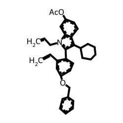 C=CCn1c(-c2ccc(OCc3ccccc3)cc2C=C)c(C2CCCCC2)c2ccc(OC(C)=O)cc21